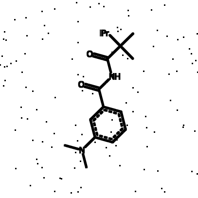 CC(C)C(C)(C)C(=O)NC(=O)c1cccc(N(C)C)c1